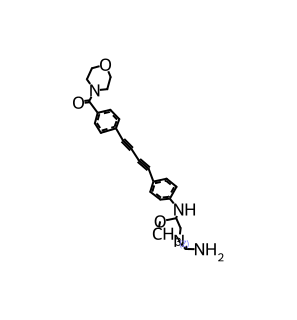 COC(C/N=C\N)Nc1ccc(C#CC#Cc2ccc(C(=O)N3CCOCC3)cc2)cc1